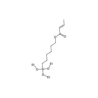 CC=CC(=O)OCCCCCC[Si](OCC)(OCC)OCC